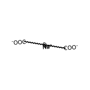 O=C([O-])CCCCCCCCCCCCCCCCSSCCCCCCCCCCCCCCCCC(=O)[O-].[Na+].[Na+]